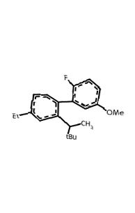 CCc1ccc(-c2cc(OC)ccc2F)c(C(C)C(C)(C)C)c1